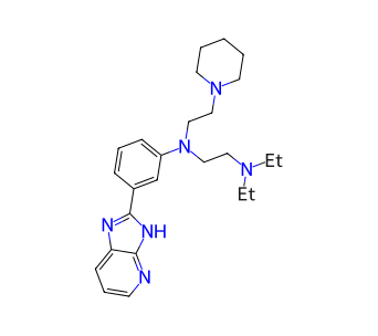 CCN(CC)CCN(CCN1CCCCC1)c1cccc(-c2nc3cccnc3[nH]2)c1